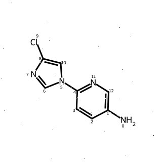 Nc1ccc(-n2cnc(Cl)c2)nc1